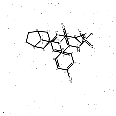 CS(=O)(=O)Nc1ccc(N2C3CCC2CC(N(C(=O)C2CC2)c2ccc(Cl)cc2)C3)nc1